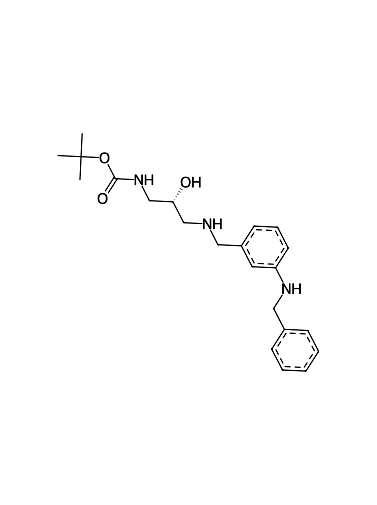 CC(C)(C)OC(=O)NC[C@H](O)CNCc1cccc(NCc2ccccc2)c1